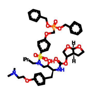 CC(C)CN(C[C@@H](O)[C@H](Cc1ccc(OCCN(C)C)cc1)NC(=O)OC1CO[C@H]2OCC[C@@H]12)S(=O)(=O)c1ccc(OCP(=O)(OCc2ccccc2)OCc2ccccc2)cc1